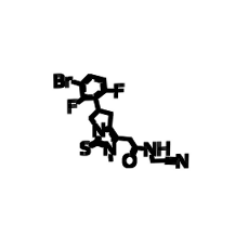 Cn1c(CC(=O)NCC#N)c2n(c1=S)CC(c1c(F)ccc(Br)c1F)C2